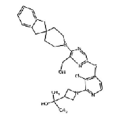 CC(C)(O)C1CN(c2nccc(Sc3cnc(N4CCC5(CC4)Cc4ccccc4C5)c(CO)n3)c2Cl)C1